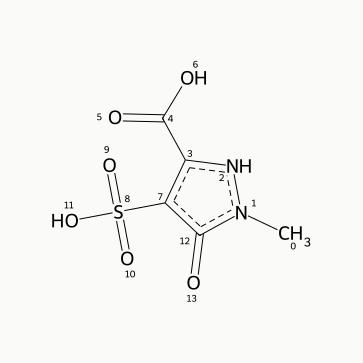 Cn1[nH]c(C(=O)O)c(S(=O)(=O)O)c1=O